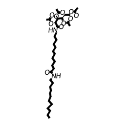 CCCCCCCCCCCCNC(=O)CCCCCCCCCCCNC(=O)[C@H](OC(C)=O)[C@@H](OC(C)=O)[C@@H](CCOC(C)=O)OC(C)=O